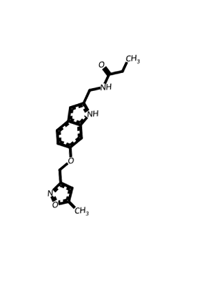 CCC(=O)NCc1cc2ccc(OCc3cc(C)on3)cc2[nH]1